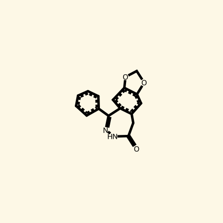 O=C1Cc2cc3c(cc2C(c2ccccc2)=NN1)OCO3